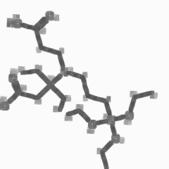 CCO[Si](CCCN(CCC(=O)O)C(CC)(CC)CC(=O)O)(OCC)OCC